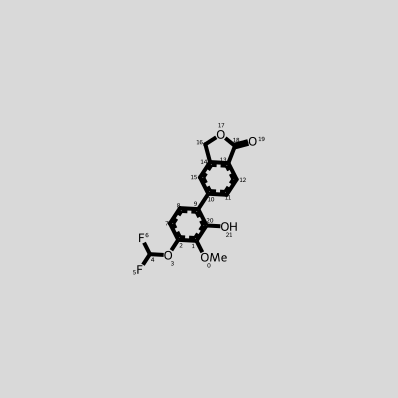 COc1c(OC(F)F)ccc(-c2ccc3c(c2)COC3=O)c1O